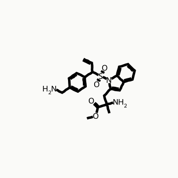 C=CC(c1ccc(CN)cc1)S(=O)(=O)n1c(CC(C)(N)C(=O)OC)cc2ccccc21